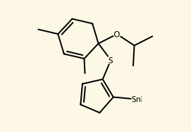 CC1=CCC(OC(C)C)(SC2=[C]([Sn])CC=C2)C(C)=C1